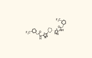 O=C(Cc1cccc(C(F)(F)F)c1)Nc1nnc([C@H]2CCC[C@H](c3nnc(NC(=O)Cc4cccc(C(F)(F)F)c4)s3)C2)s1